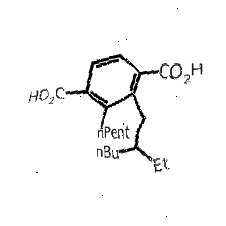 CCCCCc1c(C(=O)O)ccc(C(=O)O)c1CC(CC)CCCC